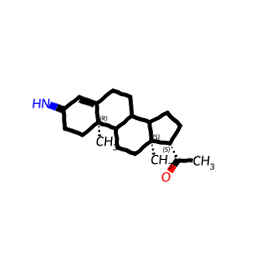 CC(=O)[C@H]1CCC2C3CCC4=CC(=N)CC[C@]4(C)C3CC[C@@]21C